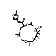 C=C1C[C@H](O)C(C)(C)C(=O)[C@H](C)C[C@@H](C)CCC[C@@H](C)CCC(/C(F)=C/c2csc(C)n2)O1